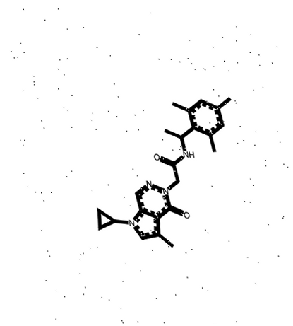 Cc1cc(C)c(C(C)NC(=O)Cn2ncc3c(c(C)cn3C3CC3)c2=O)c(C)c1